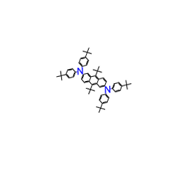 CC(C)(C)c1ccc(N(c2ccc(C(C)(C)C)cc2)c2ccc3c(C(C)(C)C)c4cc(N(c5ccc(C(C)(C)C)cc5)c5ccc(C(C)(C)C)cc5)ccc4c(C(C)(C)C)c3c2)cc1